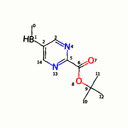 CBc1cnc(C(=O)OC(C)(C)C)nc1